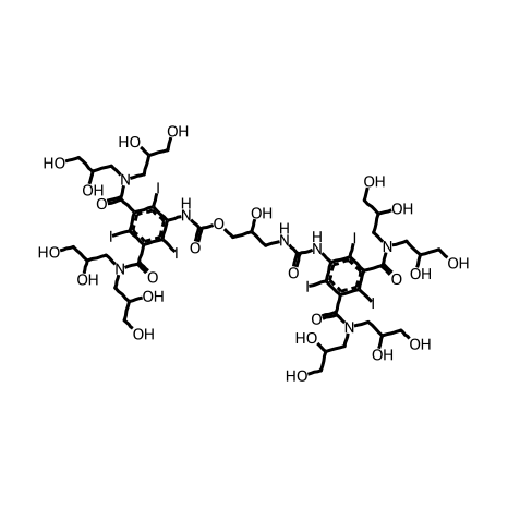 O=C(NCC(O)COC(=O)Nc1c(I)c(C(=O)N(CC(O)CO)CC(O)CO)c(I)c(C(=O)N(CC(O)CO)CC(O)CO)c1I)Nc1c(I)c(C(=O)N(CC(O)CO)CC(O)CO)c(I)c(C(=O)N(CC(O)CO)CC(O)CO)c1I